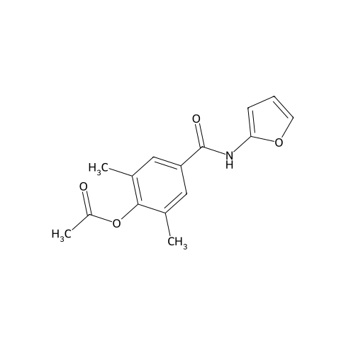 CC(=O)Oc1c(C)cc(C(=O)Nc2ccco2)cc1C